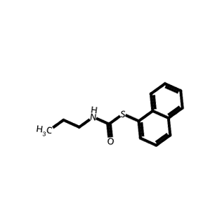 CCCNC(=O)Sc1cccc2ccccc12